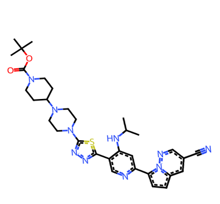 CC(C)Nc1cc(-c2ccc3cc(C#N)cnn23)ncc1-c1nnc(N2CCN(C3CCN(C(=O)OC(C)(C)C)CC3)CC2)s1